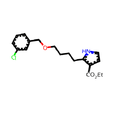 CCOC(=O)c1cc[nH]c1CCCCOCc1cccc(Cl)c1